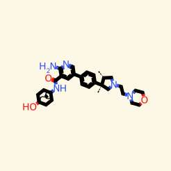 C[C@@H]1CN(CCN2CCOCC2)C[C@@]1(C)c1ccc(-c2cnc(N)c(C(=O)NC34CCC(O)(CC3)CC4)c2)cc1